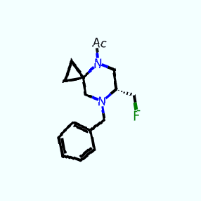 CC(=O)N1C[C@H](CF)N(Cc2ccccc2)CC12CC2